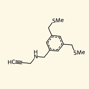 C#CCNCc1cc(CSC)cc(CSC)c1